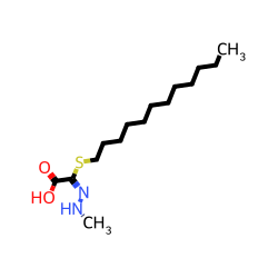 CCCCCCCCCCCCSC(=NNC)C(=O)O